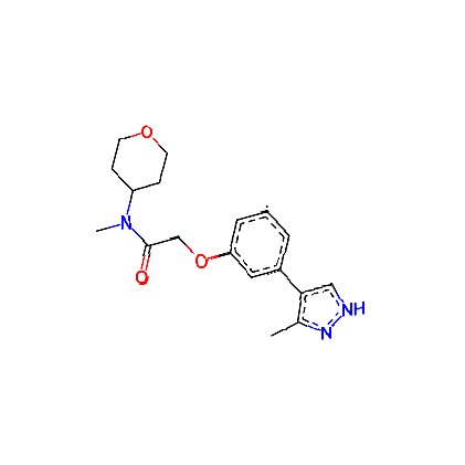 Cc1n[nH]cc1-c1c[c]cc(OCC(=O)N(C)C2CCOCC2)c1